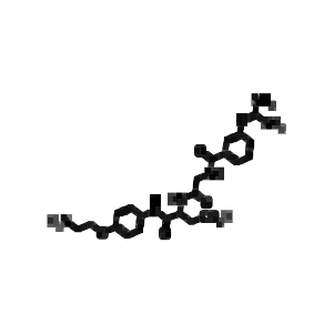 NCCOc1ccc(NC(=O)C(CC(=O)O)NC(=O)CNC(=O)c2cccc(N=C(N)N)c2)cc1